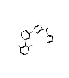 O=C(c1cn(-c2cccc(-c3c(F)ccnc3F)c2)cn1)c1ccco1